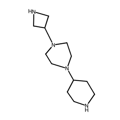 C1CC(N2CCN(C3CNC3)CC2)CCN1